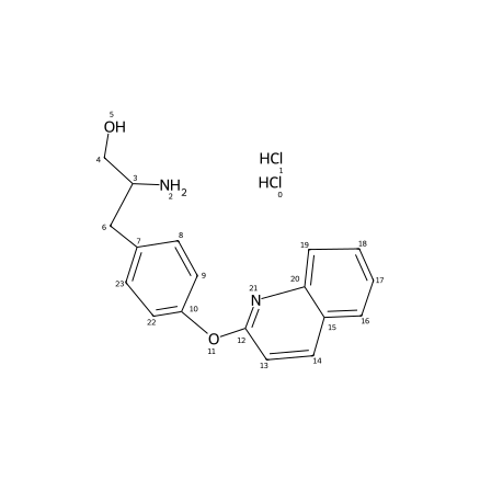 Cl.Cl.NC(CO)Cc1ccc(Oc2ccc3ccccc3n2)cc1